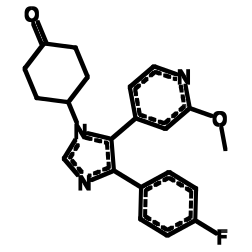 COc1cc(-c2c(-c3ccc(F)cc3)ncn2C2CCC(=O)CC2)ccn1